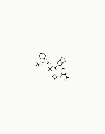 CC(C)(C)[C@H](NC(=O)NC1(CS(=O)(=O)C(C)(C)C)CCCCC1)C(=O)N1C[C@@H]2CCC[C@@H]2[C@H]1C(=O)NC(CC1CCC1)C(=O)C(N)=O